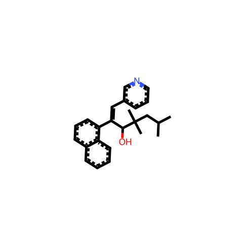 CC(C)CC(C)(C)C(O)C(=Cc1cccnc1)c1cccc2ccccc12